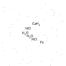 Cl.Cl.O.O.[CaH2].[Fe]